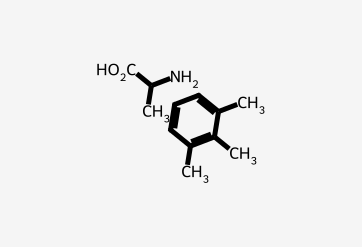 CC(N)C(=O)O.Cc1cccc(C)c1C